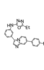 [CH2]Cc1nnc(Nc2cccc(-c3cnc4cc(-c5ccc(F)cc5)ccn34)c2)o1